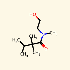 CC(C)C(C)(C)C(=O)N(C)CCO